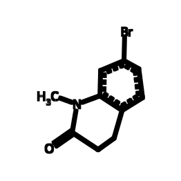 CN1C(=O)CCc2ccc(Br)cc21